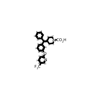 O=C(O)N1CCC(=C(c2ccccc2)c2cccc(Oc3ccc(C(F)(F)F)cn3)c2)CC1